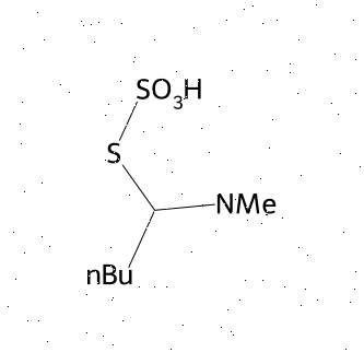 CCCCC(NC)SS(=O)(=O)O